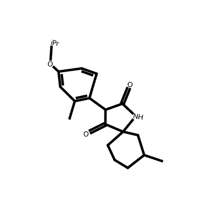 Cc1cc(OC(C)C)ccc1C1C(=O)NC2(CCCC(C)C2)C1=O